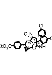 CCOC(=O)c1ccc([C@@H](O)C[C@H]2[C@@H]([N+](=O)[O-])[C@H](c3cccc(Cl)c3)[C@]3(C(=O)Nc4cc(Cl)ccc43)N2CC2CC2)cc1